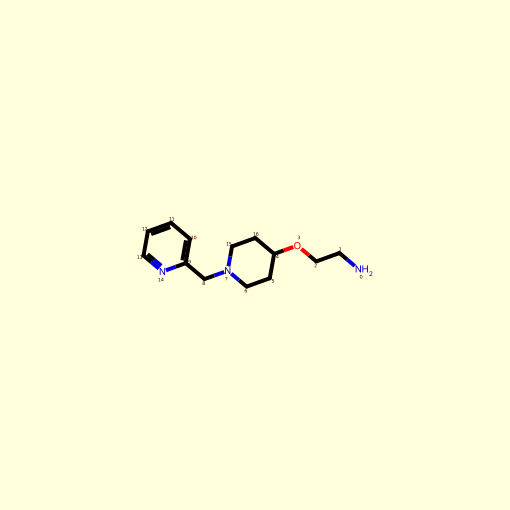 NCCOC1CCN(Cc2ccccn2)CC1